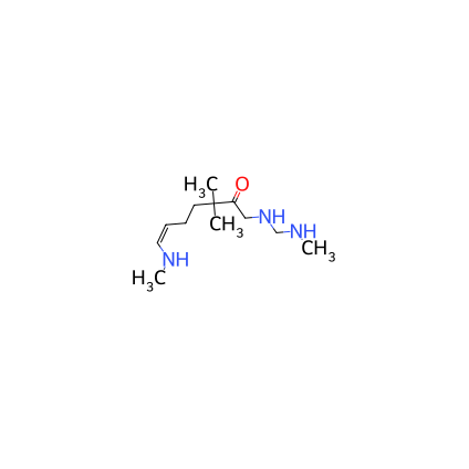 CN/C=C\CCC(C)(C)C(=O)CNCNC